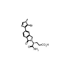 Cn1cnc(-c2ccc3c(c2)CN([C@@H](CCC(=O)O)C(N)=O)C3=O)c1Br